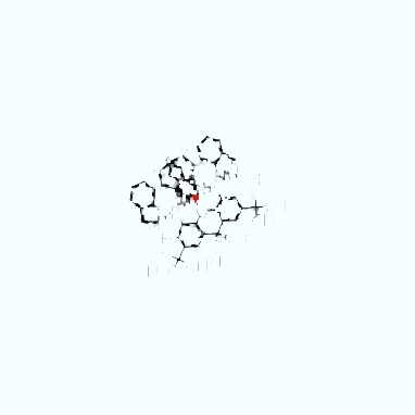 CC(C)(C)c1cc(P(n2ncc3ccccc32)n2ncc3ccccc32)c2c(c1)C(C)(C)c1cc(C(C)(C)C)cc(P(n3ncc4ccccc43)n3ncc4ccccc43)c1O2